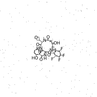 C[C@H]1NC(=O)C(C2COC2)N(C)C(=O)[C@H](C)[C@H](O)[C@H](Cc2c(F)c(F)c(F)c(F)c2F)NC(=O)[C@H]1NC(=O)c1ncccc1O